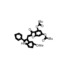 COc1ccc2[nH]c(-c3ccccc3)c(C=C3Oc4cc(OC(=O)C(C)(C)C)cc(OC(=O)C(C)(C)C)c4C3=O)c2c1